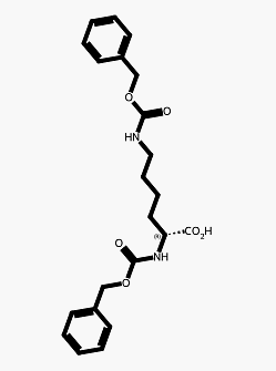 O=C(NCCCC[C@@H](NC(=O)OCc1ccccc1)C(=O)O)OCc1ccccc1